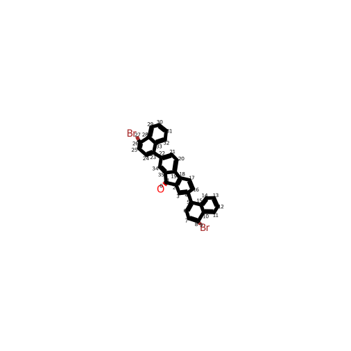 O=C1c2cc(-c3ccc(Br)c4ccccc34)ccc2-c2ccc(-c3ccc(Br)c4ccccc34)cc21